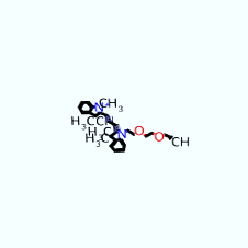 C#CCOCCOCCN1/C(=C/C=C/C2=[N+](C)c3ccccc3C2(C)C)C(C)(C)c2ccccc21